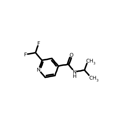 CC(C)NC(=O)c1ccnc(C(F)F)c1